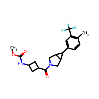 COC(=O)NC1CC(C(=O)N2CC3C(C2)C3c2ccc(C)c(C(F)(F)F)c2)C1